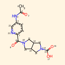 CC(=O)Nc1ccc(C(=O)N2CC3CN(C(=O)O)CC3C2)nc1